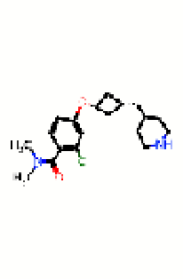 CN(C)C(=O)c1ccc(O[C@H]2C[C@@H](CC3CCNCC3)C2)cc1Cl